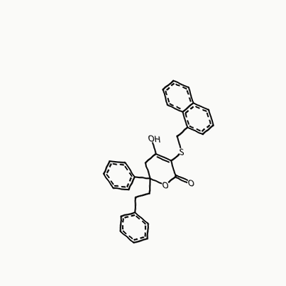 O=C1OC(CCc2ccccc2)(c2ccccc2)CC(O)=C1SCc1cccc2ccccc12